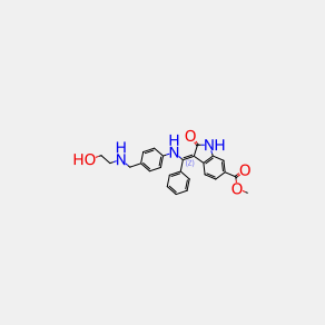 COC(=O)c1ccc2c(c1)NC(=O)/C2=C(\Nc1ccc(CNCCO)cc1)c1ccccc1